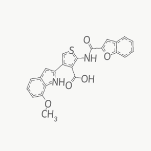 COc1cccc2cc(-c3csc(NC(=O)c4cc5ccccc5o4)c3C(=O)O)[nH]c12